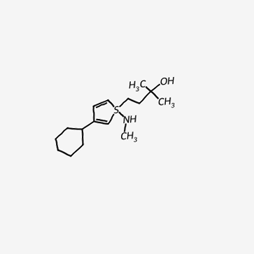 CNS1(CCC(C)(C)O)C=CC(C2CCCCC2)=C1